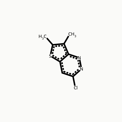 Cc1sc2cc(Cl)nnc2c1C